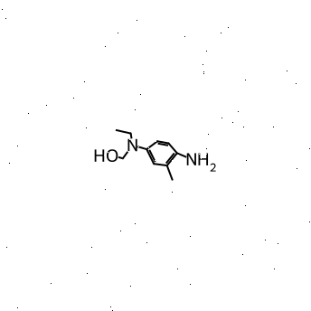 CCN(CO)c1ccc(N)c(C)c1